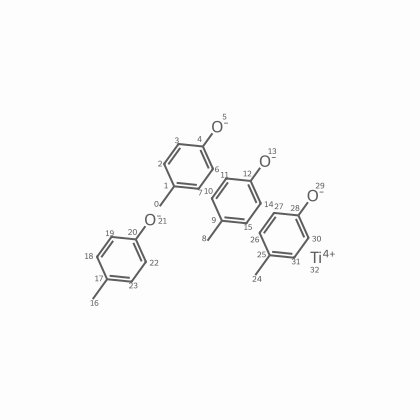 Cc1ccc([O-])cc1.Cc1ccc([O-])cc1.Cc1ccc([O-])cc1.Cc1ccc([O-])cc1.[Ti+4]